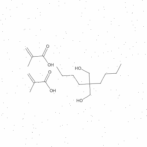 C=C(C)C(=O)O.C=C(C)C(=O)O.CCCCC(CO)(CO)CCCC